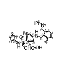 CC(C)N(C)Cc1cccc(F)c1CNc1cc(F)c(S(=O)(=O)Nc2cscn2)c(F)c1.O=CO